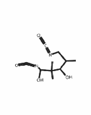 CC(CN=C=O)C(O)C(C)(C)C(O)N=C=O